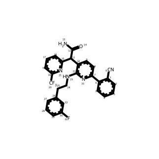 N#Cc1ccccc1-c1ccc(C(C(N)=O)c2cccc(C(F)(F)F)n2)c(NCCc2cccc(F)c2)n1